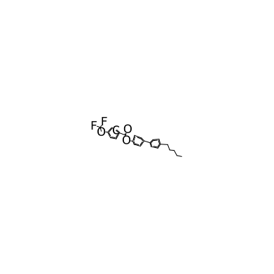 CCCCCc1ccc(-c2ccc(OC(=O)c3ccc(OC(F)F)cc3)cc2)cc1